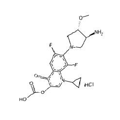 CO[C@H]1CN(c2c(F)cc3c(=O)c(OC(=O)O)cn(C4CC4)c3c2F)C[C@@H]1N.Cl